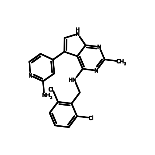 Cc1nc(NCc2c(Cl)cccc2Cl)c2c(-c3ccnc(N)c3)c[nH]c2n1